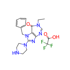 CCn1cnc2nc(N3CCNCC3)n(Cc3ccccc3)c2c1=O.O=C(O)C(F)(F)F